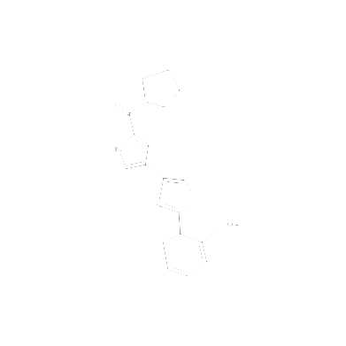 COc1ccccc1-c1nc(-c2c[nH]c(C(=O)N3CCCC3)c2)cs1